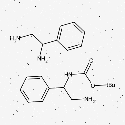 CC(C)(C)OC(=O)NC(CN)c1ccccc1.NCC(N)c1ccccc1